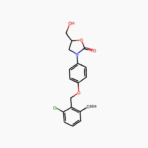 COc1cccc(Cl)c1COc1ccc(N2CC(CO)OC2=O)cc1